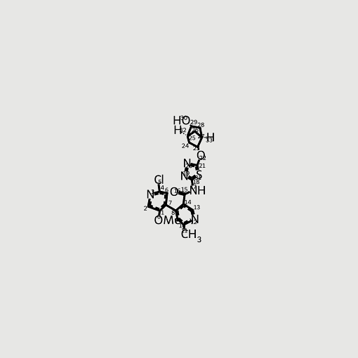 COc1cnc(Cl)cc1-c1cc(C)ncc1C(=O)Nc1nnc(O[C@@H]2C[C@@H]3C[C@H]2C[C@H]3O)s1